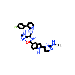 CNc1nccc(-c2cc3cc(C(=O)NC(CNc4ncccc4-c4ccc(F)cc4)c4nnc[nH]4)ccc3[nH]2)n1